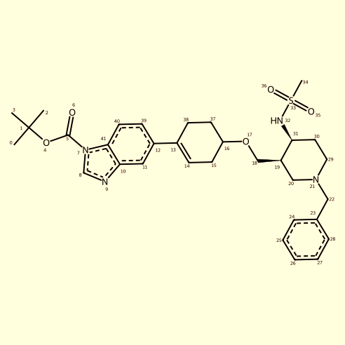 CC(C)(C)OC(=O)n1cnc2cc(C3=CCC(OC[C@@H]4CN(Cc5ccccc5)CC[C@@H]4NS(C)(=O)=O)CC3)ccc21